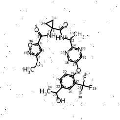 COc1cc(C(=O)NC2(C(=O)NC(C)c3ncc(Oc4ccc(C(C)O)cc4C(F)(F)F)cn3)CC2)on1